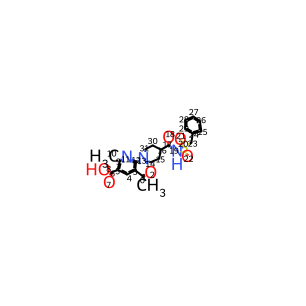 CC(=O)c1cc(C(=O)O)c(C)nc1N1CCC(C(=O)NS(=O)(=O)Cc2ccccc2)CC1